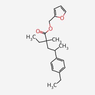 CCc1ccc(C(C)CC(C)(CC)C(=O)OCc2ccco2)cc1